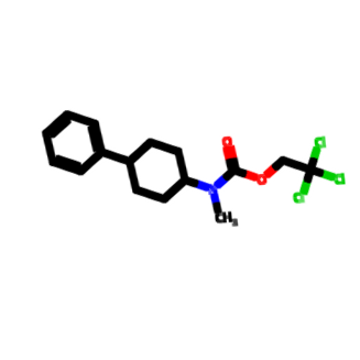 CN(C(=O)OCC(Cl)(Cl)Cl)C1CCC(c2ccccc2)CC1